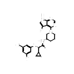 O=C(N[C@@H]1CCCN(c2ncnc3[nH]cc(F)c23)C1)[C@H](Nc1cc(Cl)cc(Cl)c1)C1CC1